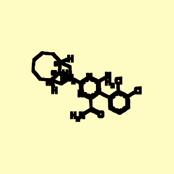 NC(=O)c1nc(N2C[C@H]3CCCCC[C@@H](C2)[C@@H]3N)nc(N)c1-c1cccc(Cl)c1Cl